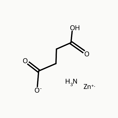 N.O=C([O-])CCC(=O)O.[Zn+]